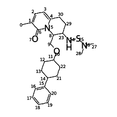 Cc1ccc2n(c1=O)C(COC1CCC(c3ccccc3)CC1)C(NSN(C)C)CC2